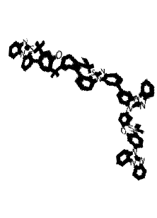 CC(C)(C)c1cc2c(cc1-c1cccc3c1sc1nc4ccccc4n13)C(C)(C)c1cc(-c3cccc4c3sc3nc5ccc(-c6ccc7c(c6)n6c8ccccc8nc6n7-c6ccc7c(c6)[Si](C)(C)c6ccc(-n8c9ccccc9n9c%10ccccc%10nc89)cc6O7)cc5n34)c(C(C)(C)C)cc1O2